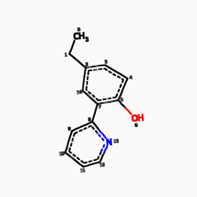 CCc1ccc(O)c(-c2ccccn2)c1